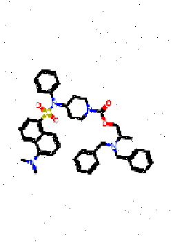 CC(COC(=O)N1CCC(N(c2ccccc2)S(=O)(=O)c2cccc3c(N(C)C)cccc23)CC1)N(Cc1ccccc1)Cc1ccccc1